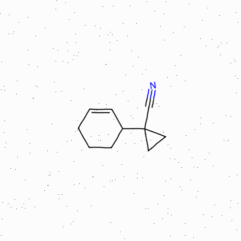 N#CC1(C2C=CCCC2)CC1